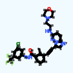 Cc1c(C#Cc2cnc3ccc(NCCN4CCOCC4)nn23)cccc1C(=O)Nc1cc(Cl)cc(C(F)(F)F)c1